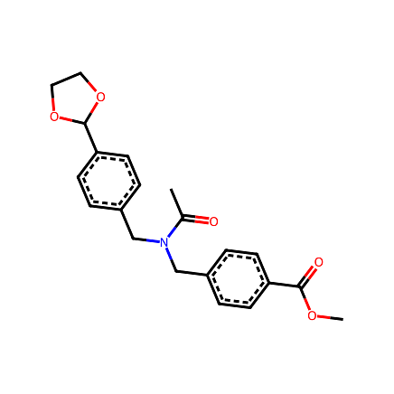 COC(=O)c1ccc(CN(Cc2ccc(C3OCCO3)cc2)C(C)=O)cc1